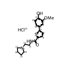 COc1cc(-c2ccc(C(=O)NCCN3CCCC3)s2)ccc1O.Cl